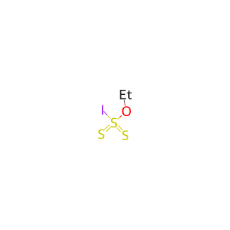 CCOS(=S)(=S)I